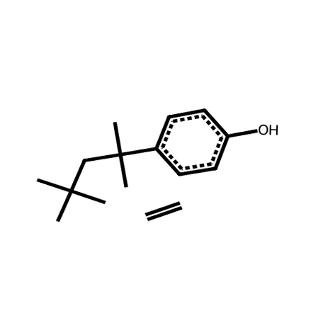 C=C.CC(C)(C)CC(C)(C)c1ccc(O)cc1